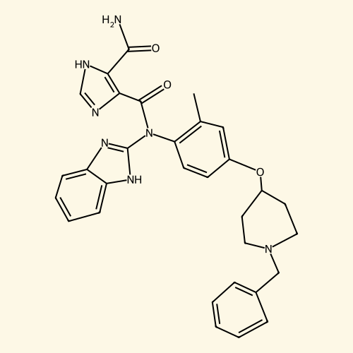 Cc1cc(OC2CCN(Cc3ccccc3)CC2)ccc1N(C(=O)c1nc[nH]c1C(N)=O)c1nc2ccccc2[nH]1